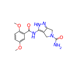 COc1ccc(OC)c(C(=O)Nc2[nH]nc3c2CN(C(N)=O)C3)c1